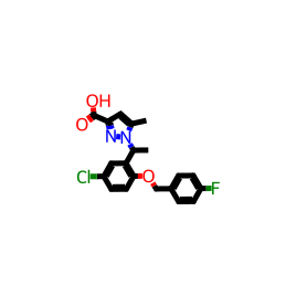 Cc1cc(C(=O)O)nn1C(C)c1cc(Cl)ccc1OCc1ccc(F)cc1